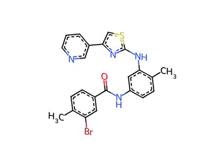 Cc1ccc(C(=O)Nc2ccc(C)c(Nc3nc(-c4cccnc4)cs3)c2)cc1Br